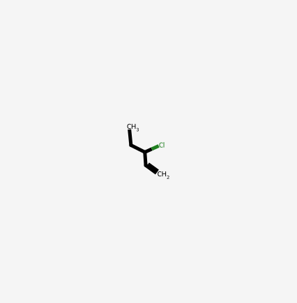 C=CC(Cl)CC